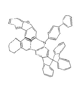 c1ccc(-c2ccc(N(c3ccc4c(c3)oc3ccccc34)c3cc4c(cc3-c3ccc5c(c3)CCCC5)-c3ccccc3C43c4ccccc4-c4ccccc43)cc2)cc1